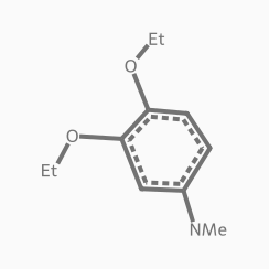 CCOc1ccc(NC)cc1OCC